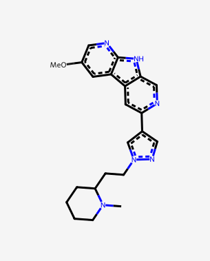 COc1cnc2[nH]c3cnc(-c4cnn(CCC5CCCCN5C)c4)cc3c2c1